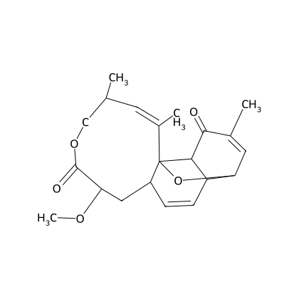 COC1CC2C=CC3C4C=C(C)C(=O)C3C2(O4)C(C)=CC(C)COC1=O